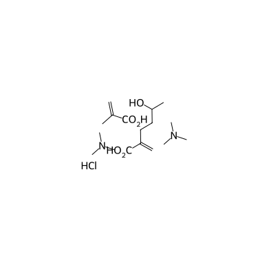 C=C(C)C(=O)O.C=C(CCC(C)O)C(=O)O.CN(C)C.CN(C)C.Cl